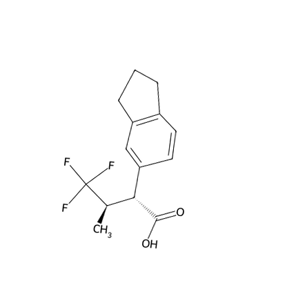 C[C@H]([C@@H](C(=O)O)c1ccc2c(c1)CCC2)C(F)(F)F